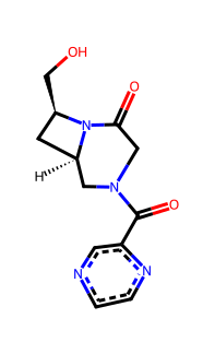 O=C(c1cnccn1)N1CC(=O)N2[C@H](CO)C[C@@H]2C1